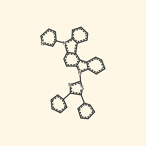 c1ccc(-c2nc(-n3c4ccccc4c4c5c6ccccc6n(-c6cccnc6)c5ccc43)sc2-c2ccccc2)cc1